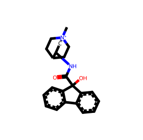 C[N+]12CCC(CC1)C(NC(=O)C1(O)c3ccccc3-c3ccccc31)C2